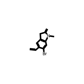 C=Cc1cc2c(cc1Br)N(C)C(=C)C2